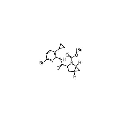 CC(C)(C)OC(=O)N1[C@@H]2C[C@@H]2C[C@H]1C(=O)Nc1nc(Br)ccc1C1CC1